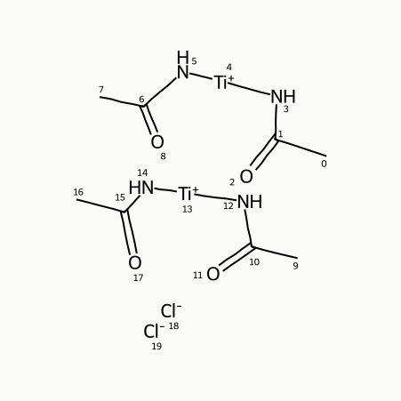 CC(=O)[NH][Ti+][NH]C(C)=O.CC(=O)[NH][Ti+][NH]C(C)=O.[Cl-].[Cl-]